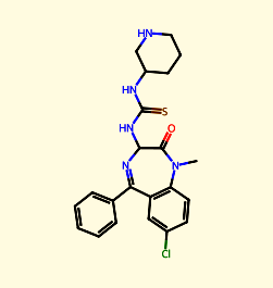 CN1C(=O)C(NC(=S)NC2CCCNC2)N=C(c2ccccc2)c2cc(Cl)ccc21